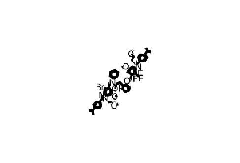 COCCn1c(-c2ccc(C(C)C)cc2)nc2c(Br)c(CN(c3ccccc3)C(O)Cc3ccccc3OCc3cc(OC)c4c(nc(-c5ccc(C(C)C)cc5)n4CCOC)c3C(F)(F)F)cc(OC)c21